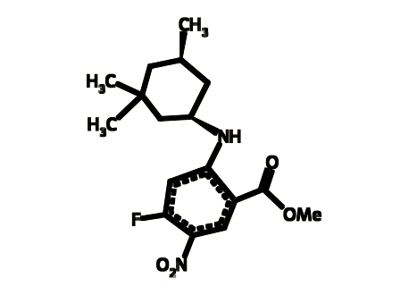 COC(=O)c1cc([N+](=O)[O-])c(F)cc1N[C@@H]1C[C@H](C)CC(C)(C)C1